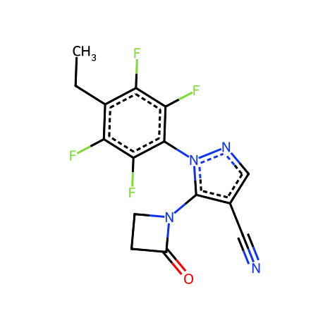 CCc1c(F)c(F)c(-n2ncc(C#N)c2N2CCC2=O)c(F)c1F